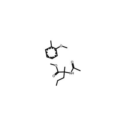 CCCC(C)(NC(C)=O)C(=O)OC.COc1ccccc1C